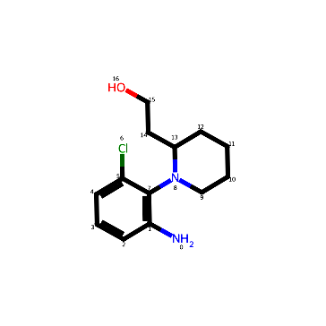 Nc1cccc(Cl)c1N1CCCCC1CCO